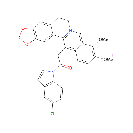 COc1ccc2c(CC(=O)n3ccc4cc(Cl)ccc43)c3[n+](cc2c1OC)CCc1cc2c(cc1-3)OCO2.[I-]